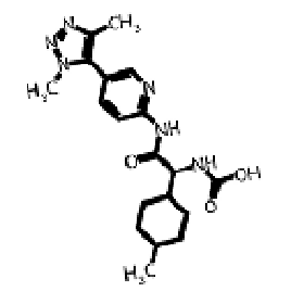 Cc1nnn(C)c1-c1ccc(NC(=O)[C@@H](NC(=O)O)C2CCC(C)CC2)nc1